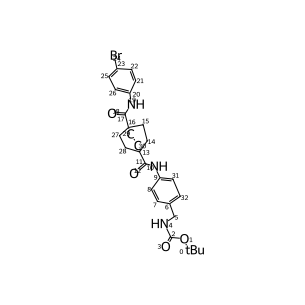 CC(C)(C)OC(=O)NCc1ccc(NC(=O)C23CCC(C(=O)Nc4ccc(Br)cc4)(CC2)CC3)cc1